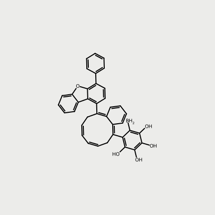 Bc1c(O)c(O)c(O)c(O)c1/C1=c2\cccc\c2=C(/c2ccc(-c3ccccc3)c3oc4ccccc4c23)C/C=C\C=C/C1